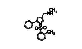 CNCc1cc(-c2ccccc2)n(S(=O)(=O)c2ccccc2C)c1